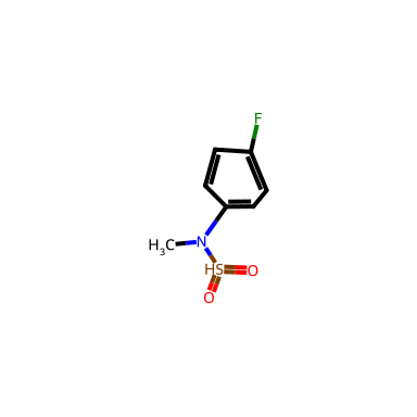 CN(c1ccc(F)cc1)[SH](=O)=O